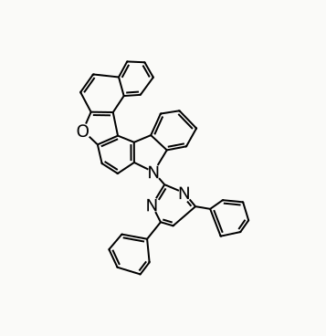 c1ccc(-c2cc(-c3ccccc3)nc(-n3c4ccccc4c4c5c(ccc43)oc3ccc4ccccc4c35)n2)cc1